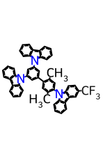 Cc1cc(-n2c3ccccc3c3cc(C(F)(F)F)ccc32)c(C)cc1-c1cc(-n2c3ccccc3c3ccccc32)cc(-n2c3ccccc3c3ccccc32)c1